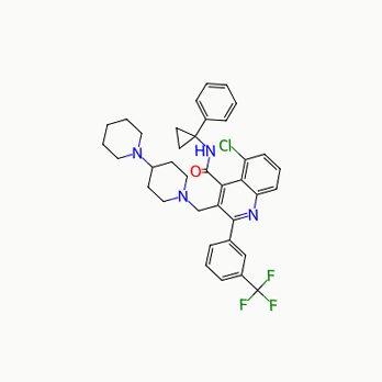 O=C(NC1(c2ccccc2)CC1)c1c(CN2CCC(N3CCCCC3)CC2)c(-c2cccc(C(F)(F)F)c2)nc2cccc(Cl)c12